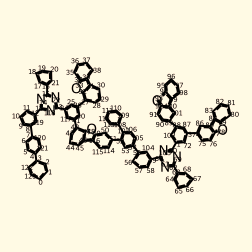 c1ccc(-c2ccc(-c3cccc(-c4nc(-c5ccccc5)nc(-c5cc(-c6cccc7c6oc6ccccc67)cc(-c6cccc7c6oc6cc(-c8cc(-c9cccc(-c%10nc(-c%11ccccc%11)nc(-c%11cc(-c%12ccc%13oc%14ccccc%14c%13c%12)cc(-c%12ccc%13oc%14ccccc%14c%13c%12)c%11)n%10)c9)ccc8-c8ccccc8)ccc67)c5)n4)c3)cc2)cc1